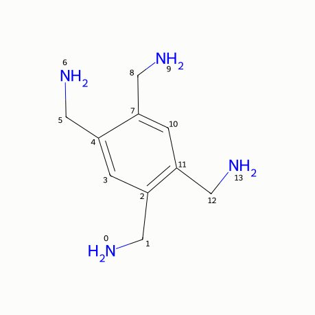 NCc1cc(CN)c(CN)cc1CN